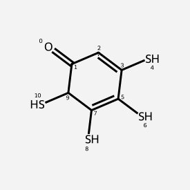 O=C1[C]=C(S)C(S)=C(S)C1S